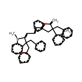 C=C(/C=C/C=C/C=C1/N(C)c2ccccc2C1(Cc1ccccc1)Cc1ccccc1)C(Cc1ccccc1)(Cc1ccccc1)c1ccccc1C